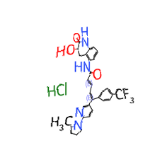 CC1CCCN1c1ccc(/C(=C/C=C/C(=O)Nc2cccc3c2CC(O)C(=O)N3)c2ccc(C(F)(F)F)cc2)cn1.Cl